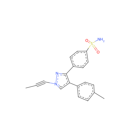 CC#Cn1cc(-c2ccc(C)cc2)c(-c2ccc(S(N)(=O)=O)cc2)n1